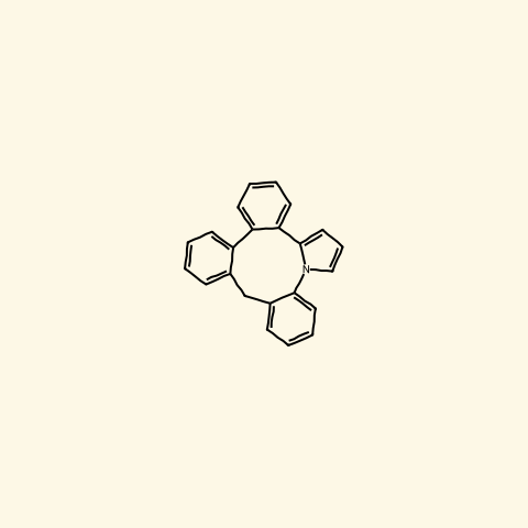 c1ccc2c(c1)Cc1ccccc1-n1cccc1-c1ccccc1-2